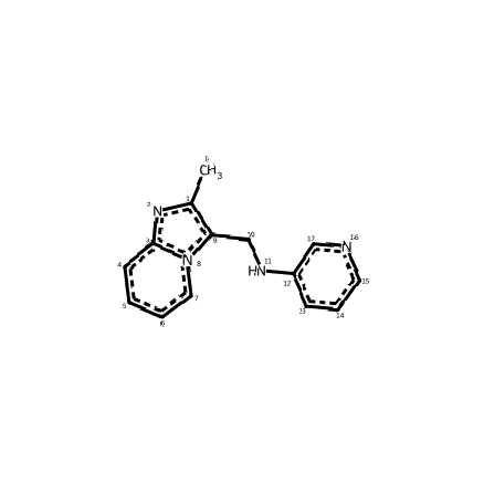 Cc1nc2ccccn2c1CNc1cccnc1